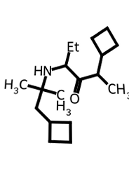 CCC(NC(C)(C)CC1CCC1)C(=O)C(C)C1CCC1